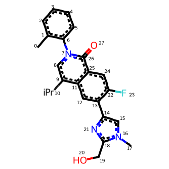 Cc1ccccc1-n1cc(C(C)C)c2cc(-c3cn(C)c(CO)n3)c(F)cc2c1=O